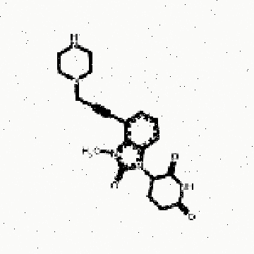 Cn1c(=O)n(C2CCC(=O)NC2=O)c2cccc(C#CCN3CCNCC3)c21